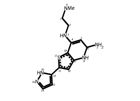 CNCCNC1=CC(N)Nc2cc(C3=C=C=NN3)sc21